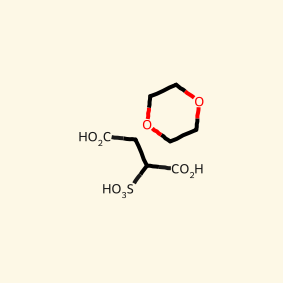 C1COCCO1.O=C(O)CC(C(=O)O)S(=O)(=O)O